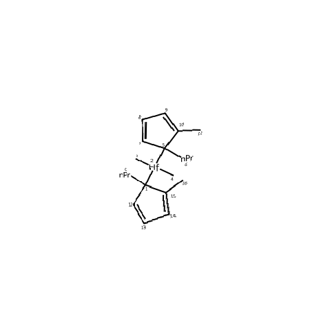 CCC[C]1([Hf]([CH3])([CH3])[C]2(CCC)C=CC=C2C)C=CC=C1C